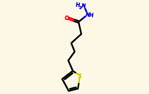 NNC(=O)CCCCc1cccs1